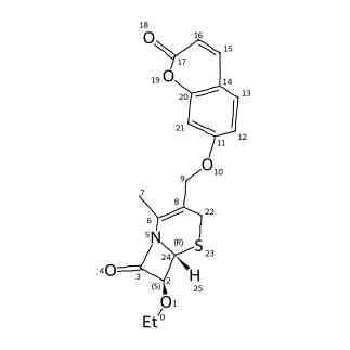 CCO[C@H]1C(=O)N2C(C)=C(COc3ccc4ccc(=O)oc4c3)CS[C@H]12